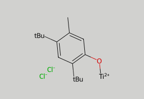 Cc1cc([O][Ti+2])c(C(C)(C)C)cc1C(C)(C)C.[Cl-].[Cl-]